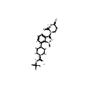 Cn1nc(N2CCC(=O)NC2=O)c2cccc(C3CCN(C(=O)OC(C)(C)C)CC3)c21